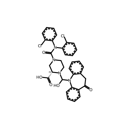 O=C1Cc2ccccc2N(C(O)N2CCN(C(=O)N(c3ccccc3Cl)c3ccccc3Cl)C[C@H]2C(=O)O)c2ccccc21